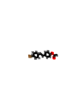 CC(=O)Oc1ccc(C=Cc2ccc(Br)cc2)cc1